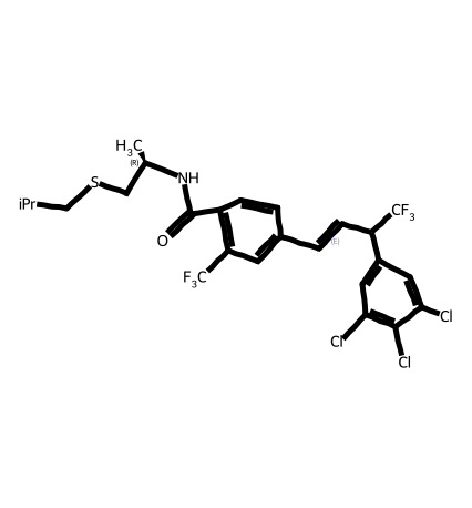 CC(C)CSC[C@@H](C)NC(=O)c1ccc(/C=C/C(c2cc(Cl)c(Cl)c(Cl)c2)C(F)(F)F)cc1C(F)(F)F